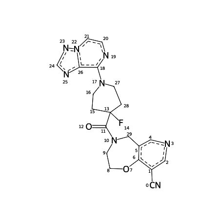 N#Cc1cncc2c1OCCN(C(=O)C1(F)CCN(c3nccn4ncnc34)CC1)C2